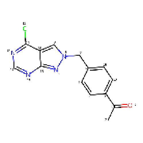 CC(=O)c1ccc(Cn2cc3c(Cl)ncnc3n2)cc1